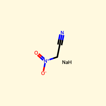 N#CC[N+](=O)[O-].[NaH]